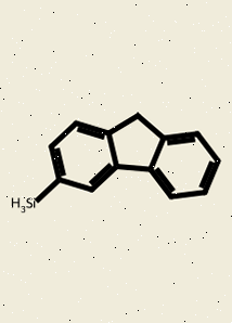 [SiH3]c1ccc2c(c1)-c1ccccc1[CH]2